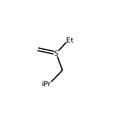 C=S(CC)CC(C)C